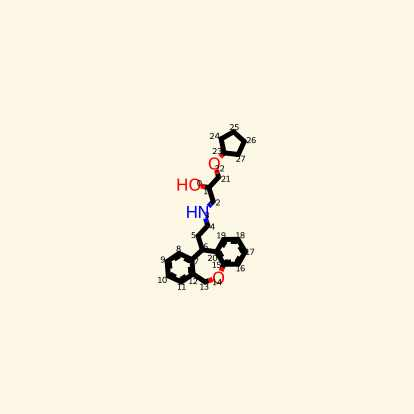 OC(CNCCC1c2ccccc2COc2ccccc21)COC1CCCC1